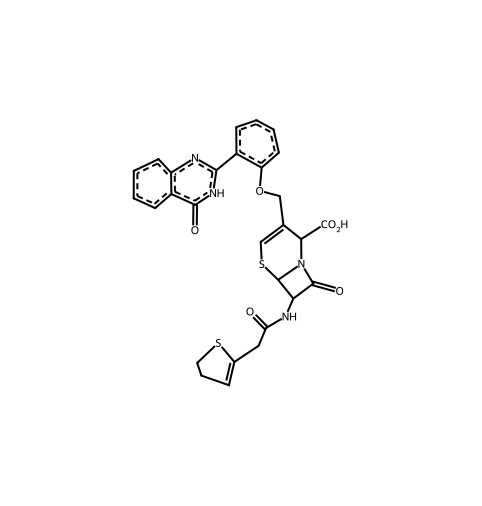 O=C(CC1=CCCS1)NC1C(=O)N2C(C(=O)O)C(COc3ccccc3-c3nc4ccccc4c(=O)[nH]3)=CSC12